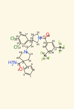 NC(=O)C1(c2ccccc2)CCN(CCC2(c3ccc(Cl)c(Cl)c3)CCN(C(=O)c3cc(C(F)(F)F)cc(C(F)(F)F)c3)C2)CC1